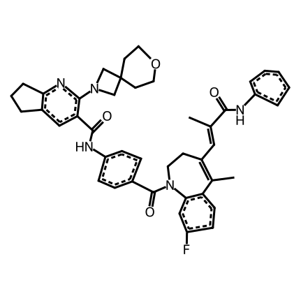 CC1=C(/C=C(\C)C(=O)Nc2ccccc2)CCN(C(=O)c2ccc(NC(=O)c3cc4c(nc3N3CC5(CCOCC5)C3)CCC4)cc2)c2cc(F)ccc21